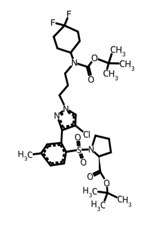 Cc1ccc(S(=O)(=O)N2CCC[C@H]2C(=O)OC(C)(C)C)c(-c2nn(CCCN(C(=O)OC(C)(C)C)C3CCC(F)(F)CC3)cc2Cl)c1